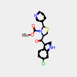 CC(C)(C)OC(=O)N1C(C(=O)c2c[nH]c3cc(Cl)ccc23)CSC1c1cccnc1